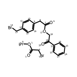 CC(C)OC(=O)CBr.O=C(Cc1ccc(CBr)cc1)OCC(=O)c1ccccc1